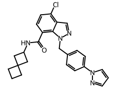 O=C(NC1CC2(CCC2)C1)c1ccc(Cl)c2cnn(Cc3ccc(-n4cccn4)cc3)c12